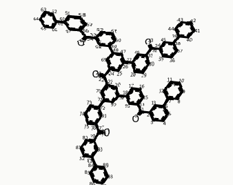 O=C(c1cccc(-c2ccccc2)c1)c1cccc(-c2cc(C(=O)c3cc(-c4cccc(C(=O)c5cccc(-c6ccccc6)c5)c4)cc(-c4cccc(C(=O)c5cccc(-c6ccccc6)c5)c4)c3)cc(-c3cccc(C(=O)c4cccc(-c5ccccc5)c4)c3)c2)c1